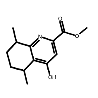 COC(=O)c1cc(O)c2c(n1)C(C)CCC2C